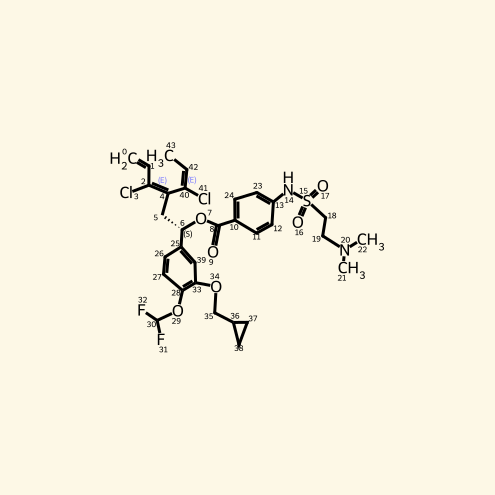 C=C/C(Cl)=C(C[C@H](OC(=O)c1ccc(NS(=O)(=O)CCN(C)C)cc1)c1ccc(OC(F)F)c(OCC2CC2)c1)\C(Cl)=C/C